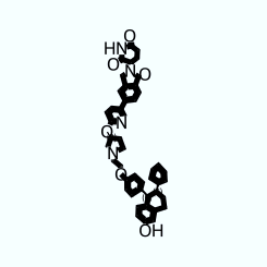 O=C1CCC(N2Cc3cc(-c4ccc(O[C@@H]5CCN(CCOc6ccc([C@@H]7c8ccc(O)cc8CC[C@@H]7c7ccccc7)cc6)C5)nc4)ccc3C2=O)C(=O)N1